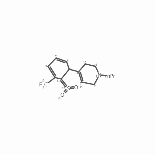 CCCN1CC=C(C2C=CC=C(C(F)(F)F)C2=S(=O)=O)CC1